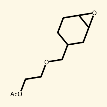 CC(=O)OCCOCC1CCC2OC2C1